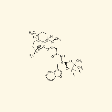 C[C@H]1[C@@H](CC(=O)N[C@@H](Cc2coc3ccccc23)B2OC(C)(C)C(C)(C)O2)O[C@@H]2O[C@@]3(C)CC[C@H]4[C@H](C)CC[C@@H]1[C@@]24OO3